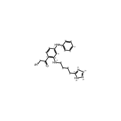 CC(C)CC(=O)c1ccc(Nc2ccccc2)cc1NCCCCc1nnn[nH]1